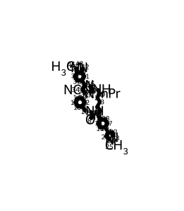 CCC[C@H](CCCCN(C(=O)NCc1ccccc1)c1ccc(-c2cnn(C)c2)cc1)Nc1ncc(C#N)c(-c2ccc3c(c2)ncn3C)n1